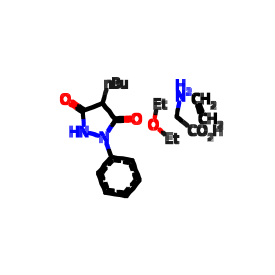 C=C.CCCCC1C(=O)NN(c2ccccc2)C1=O.CCOCC.NCC(=O)O